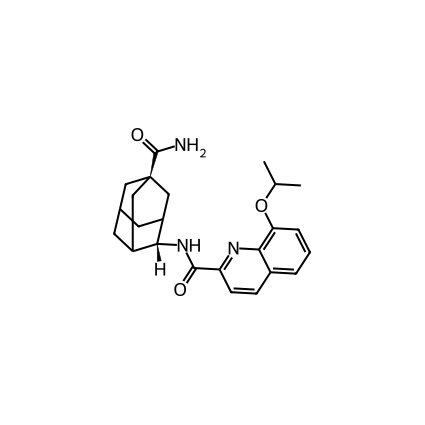 CC(C)Oc1cccc2ccc(C(=O)N[C@H]3C4CC5CC3C[C@](C(N)=O)(C5)C4)nc12